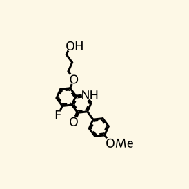 COc1ccc(-c2c[nH]c3c(OCCCO)ccc(F)c3c2=O)cc1